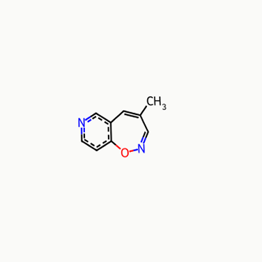 CC1=Cc2cnccc2ON=C1